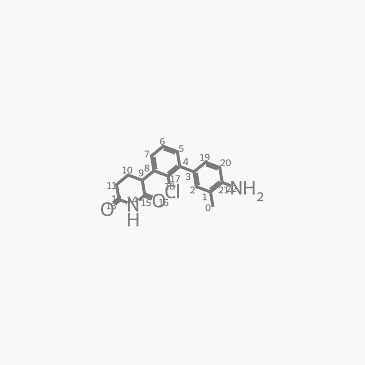 Cc1cc(-c2cccc(C3CCC(=O)NC3=O)c2Cl)ccc1N